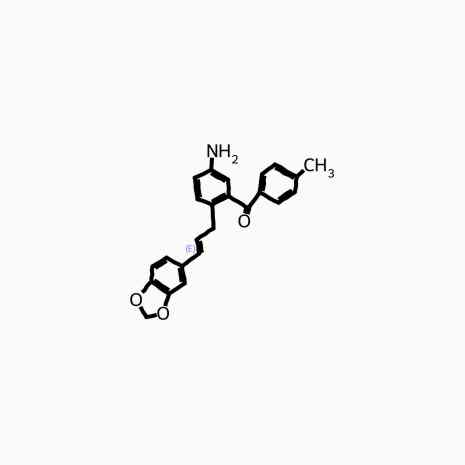 Cc1ccc(C(=O)c2cc(N)ccc2C/C=C/c2ccc3c(c2)OCO3)cc1